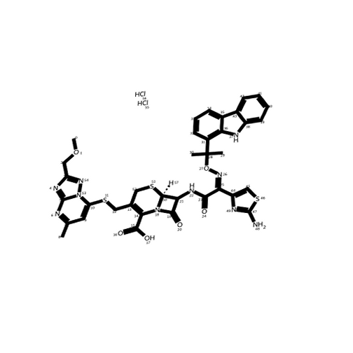 COCc1nc2nc(C)cc(SCC3=C(C(=O)O)N4C(=O)C(NC(=O)C(=NOC(C)(C)c5cccc6c5[nH]c5ccccc56)c5csc(N)n5)[C@@H]4SC3)n2n1.Cl.Cl